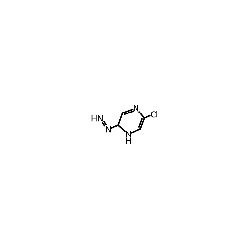 N=NC1C=NC(Cl)=CN1